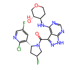 O=C(c1n[nH]c2ncnc(N[C@@H]3CCOC[C@H]3O)c12)N1C[C@@H](F)C[C@@H]1c1cc(F)cnc1Cl